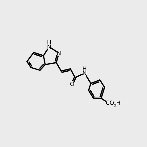 O=C(C=Cc1n[nH]c2ccccc12)Nc1ccc(C(=O)O)cc1